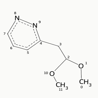 COC(Cc1cccnn1)OC